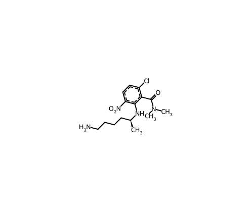 C[C@@H](CCCCN)Nc1c([N+](=O)[O-])ccc(Cl)c1C(=O)N(C)C